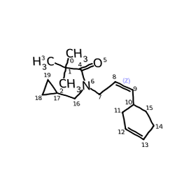 CC(C)(C)C(=O)N(C/C=C\C1CC=CCC1)CC1CC1